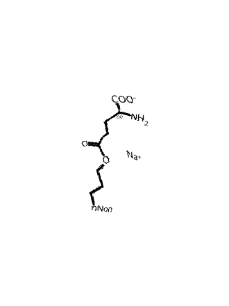 CCCCCCCCCCCCOC(=O)CC[C@H](N)C(=O)[O-].[Na+]